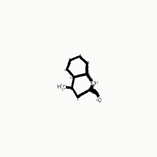 CC1CC(=O)OC2CCCCC12